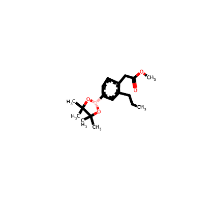 CCCc1cc(B2OC(C)(C)C(C)(C)O2)ccc1CC(=O)OC